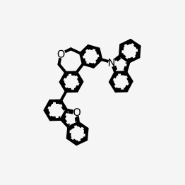 c1ccc2c(c1)oc1c(-c3ccc4c(c3)COCc3ccc(-n5c6ccccc6c6ccccc65)cc3-4)cccc12